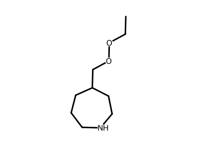 CCOOCC1CCCNCC1